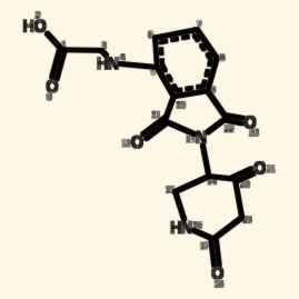 O=C(O)CNc1cccc2c1C(=O)N(C1CNC(=O)CC1=O)C2=O